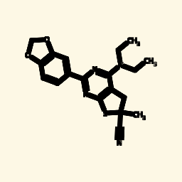 CCN(CC)c1nc(-c2ccc3c(c2)OCO3)nc2c1CC(C)(C#N)S2